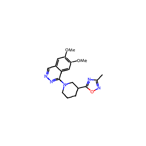 COc1cc2cnnc(N3CCCC(c4nc(C)no4)C3)c2cc1OC